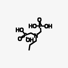 CCCN(CP(=O)(O)O)CP(=O)(O)O